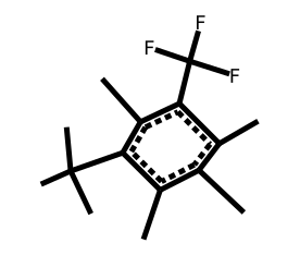 Cc1c(C)c(C(C)(C)C)c(C)c(C(F)(F)F)c1C